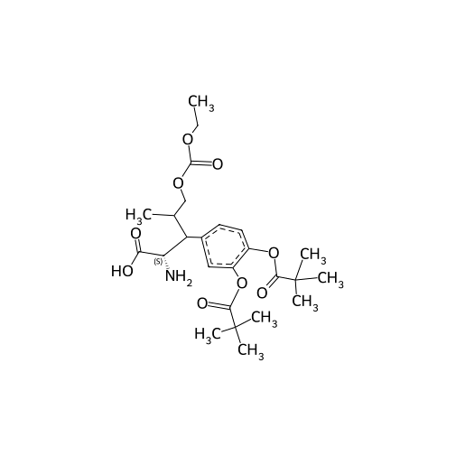 CCOC(=O)OCC(C)C(c1ccc(OC(=O)C(C)(C)C)c(OC(=O)C(C)(C)C)c1)[C@H](N)C(=O)O